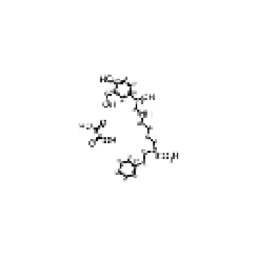 O=C(O)C(=O)O.O=C(O)C(CCCCNCC(O)c1ccc(O)c(CO)c1)CCc1ccccc1